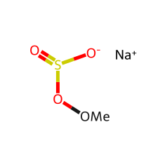 COOS(=O)[O-].[Na+]